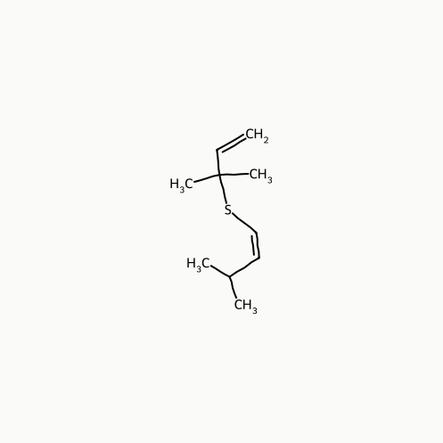 C=CC(C)(C)S/C=C\C(C)C